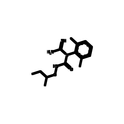 CCC(C)ONC(=O)N(C(=N)N)c1c(C)cccc1C